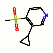 CS(=O)(=O)c1ccn[c]c1C1CC1